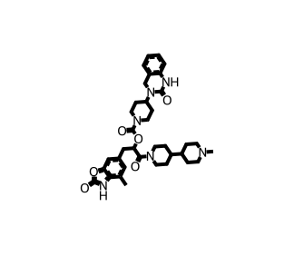 Cc1cc(CC(OC(=O)N2CCC(N3Cc4ccccc4NC3=O)CC2)C(=O)N2CCC(C3CCN(C)CC3)CC2)cc2oc(=O)[nH]c12